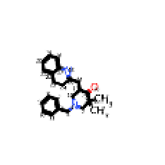 CC1(C)CN(Cc2ccccc2)CC(CC2=Nc3ccccc3CC2)C1=O